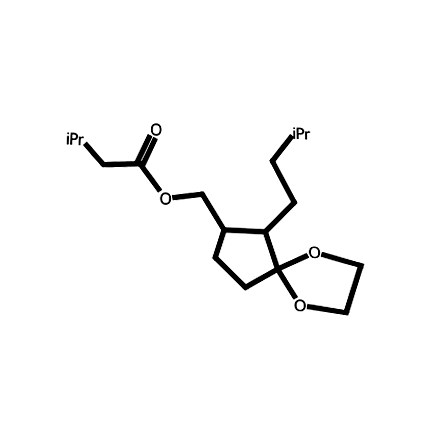 CC(C)CCC1C(COC(=O)CC(C)C)CCC12OCCO2